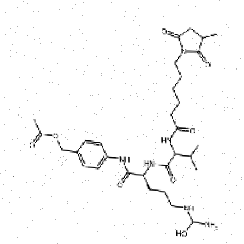 CC(=O)OCc1ccc(NC(=O)[C@H](CCCNC(N)O)NC(=O)C(NC(=O)CCCCCN2C(=O)CC(C)C2=O)C(C)C)cc1